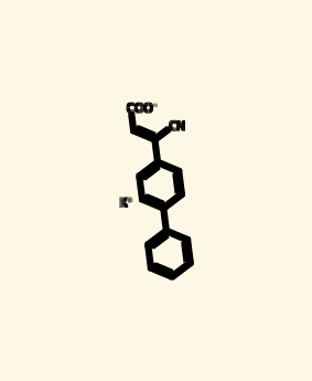 N#CC(=CC(=O)[O-])c1ccc(-c2ccccc2)cc1.[K+]